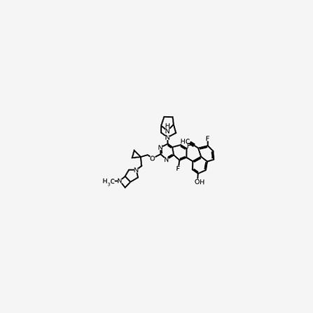 C#Cc1c(F)ccc2cc(O)cc(-c3c(F)cc4c(N5CC6CCC(C5)N6)nc(OCC5(CN6CC7CN(C)C7C6)CC5)nc4c3F)c12